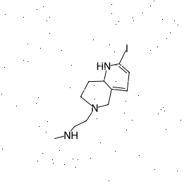 CNCCN1CCC2NC(I)=CC=C2C1